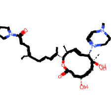 C/C(=C\C=C\[C@@H](C)CCC(=O)N1CCCC1)[C@H]1OC(=O)C[C@@H](O)CC[C@](C)(O)[C@@H](N2CCN(C)CC2)/C=C/[C@@H]1C